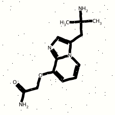 CC(C)(N)Cc1cnc2c(OCC(N)=O)cccn12